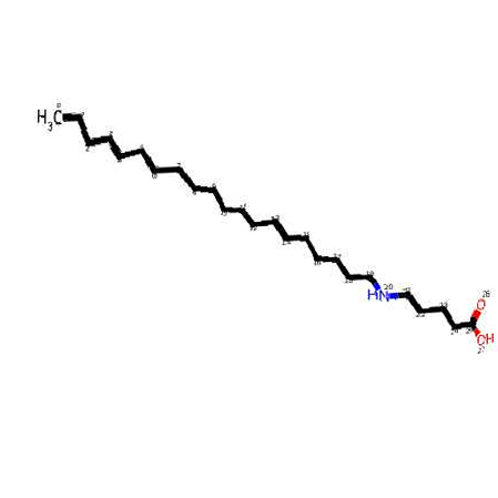 CCCCCCCCCCCCCCCCCCCCNCCCCC(=O)O